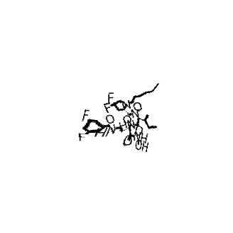 CCCCCC(=O)N1CC(F)(F)C[C@H]1C(=O)N(C)[C@H](C(=O)N[C@@H](CCNC(=O)c1cc(F)cc(F)c1)C(=O)NO)C(C)CC